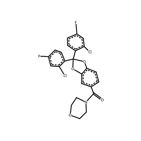 O=C(c1ccc2c(c1)OC(c1ccc(F)cc1Cl)(c1ccc(F)cc1Cl)O2)N1CCOCC1